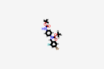 CC(C)(C)OC(=O)NC1CCC(N(Cc2ccc(Br)cc2F)C(=O)OC(C)(C)C)CC1